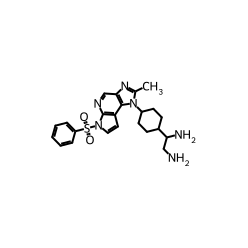 Cc1nc2cnc3c(ccn3S(=O)(=O)c3ccccc3)c2n1C1CCC(C(N)CN)CC1